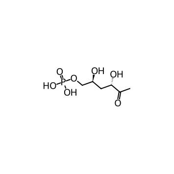 CC(=O)[C@@H](O)C[C@H](O)COP(=O)(O)O